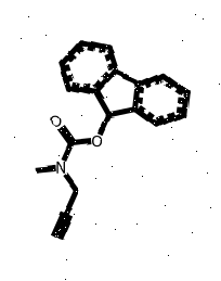 C#CCN(C)C(=O)OC1c2ccccc2-c2ccccc21